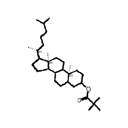 CC(C)CCC[C@@H](C)C1CCC2C3CCC4CC(OC(=O)C(C)(C)C)CC[C@]4(C)C3CC[C@@]21C